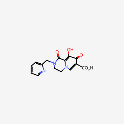 O=C(O)c1cn2c(c(O)c1=O)C(=O)N(Cc1ccccn1)CC2